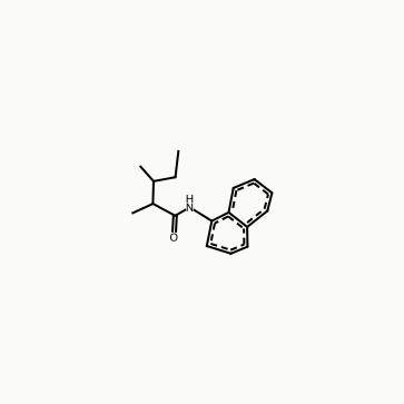 CCC(C)C(C)C(=O)Nc1cccc2ccccc12